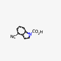 N#Cc1cccc2c1ccn2C(=O)O